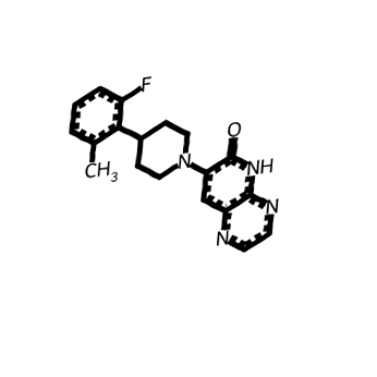 Cc1cccc(F)c1C1CCN(c2cc3nccnc3[nH]c2=O)CC1